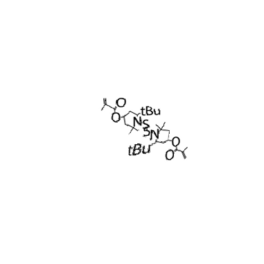 C=C(C)C(=O)OC1CC(C(C)(C)C)N(SSN2C(C(C)(C)C)CC(OC(=O)C(=C)C)CC2(C)C)C(C)(C)C1